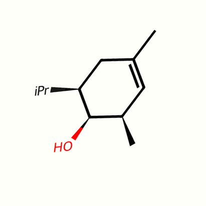 CC1=C[C@@H](C)[C@@H](O)[C@@H](C(C)C)C1